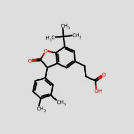 Cc1ccc(C2C(=O)Oc3c2cc(CCC(=O)O)cc3C(C)(C)C)cc1C